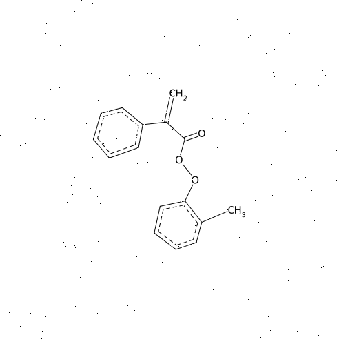 C=C(C(=O)OOc1ccccc1C)c1ccccc1